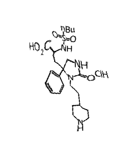 CCCCS(=O)(=O)NC(CC1(c2ccccc2)CNC(=O)N1CCC1CCNCC1)C(=O)O.Cl